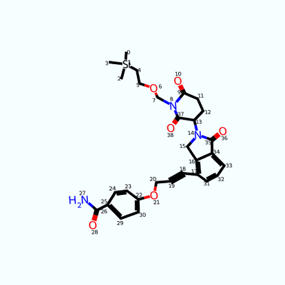 C[Si](C)(C)CCOCN1C(=O)CCC(N2Cc3c(C#CCOc4ccc(C(N)=O)cc4)cccc3C2=O)C1=O